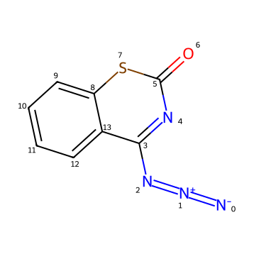 [N-]=[N+]=Nc1nc(=O)sc2ccccc12